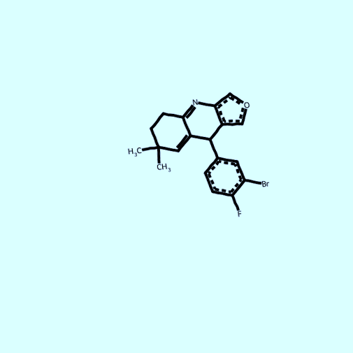 CC1(C)C=C2C(=Nc3cocc3C2c2ccc(F)c(Br)c2)CC1